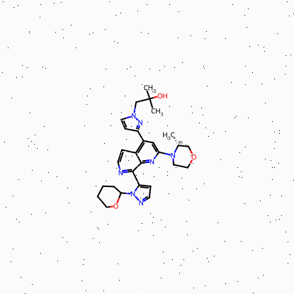 C[C@@H]1COCCN1c1cc(-c2ccn(CC(C)(C)O)n2)c2ccnc(-c3ccnn3C3CCCCO3)c2n1